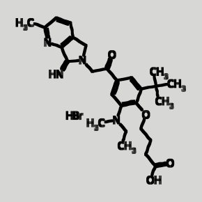 Br.CCN(C)c1cc(C(=O)CN2Cc3ccc(C)nc3C2=N)cc(C(C)(C)C)c1OCCCC(=O)O